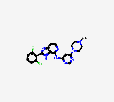 CN1CCN(c2cc(Nc3nccc4nc(-c5c(Cl)cccc5Cl)[nH]c34)ncn2)CC1